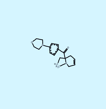 CCC1(C(=O)c2ccc(N3CCOCC3)cc2)CC=CCN1C